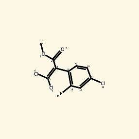 COC(=O)C(=C(Cl)Cl)c1ccc(Cl)cc1F